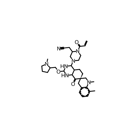 C=CC(=O)N1CCN(C2NC(OCC3CCCN3C)NC3C(=O)[C@@]4(CCC32)Cc2cccc(C)c2N(C)C4)CC1CC#N